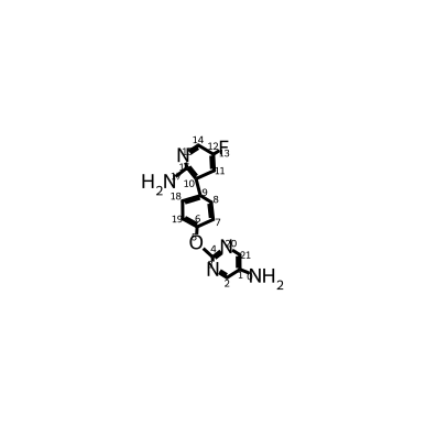 Nc1cnc(Oc2ccc(-c3cc(F)cnc3N)cc2)nc1